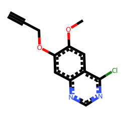 C#CCOc1cc2ncnc(Cl)c2cc1OC